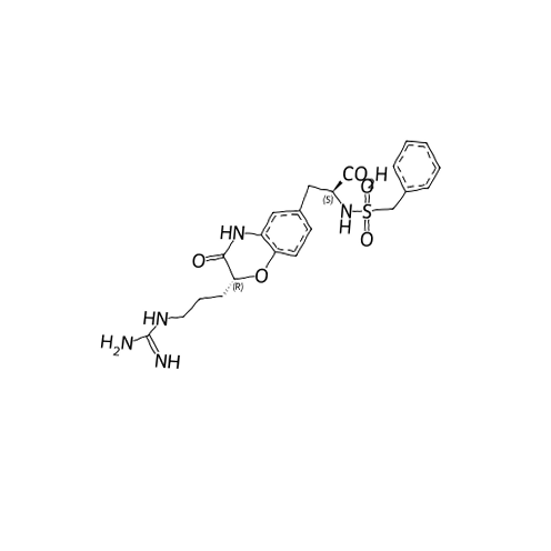 N=C(N)NCCC[C@H]1Oc2ccc(C[C@H](NS(=O)(=O)Cc3ccccc3)C(=O)O)cc2NC1=O